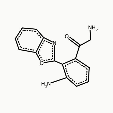 NCC(=O)c1cccc(N)c1-c1nc2ccccc2o1